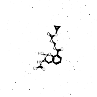 CCC(=O)NC1Cc2cccc(C(=O)OCOC(=O)OC3CC3)c2OB1O